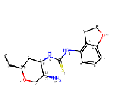 CC[C@H]1C[C@@H](NC(=S)Nc2cccc3c2CCO3)[C@@H](N)CO1